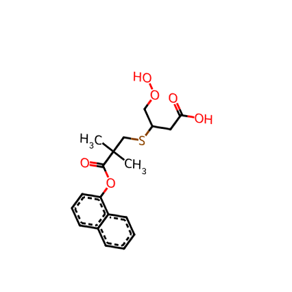 CC(C)(CSC(COO)CC(=O)O)C(=O)Oc1cccc2ccccc12